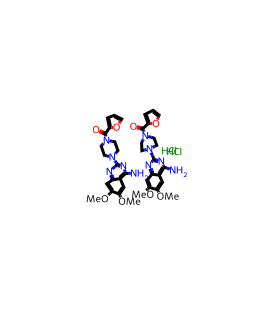 COc1cc2nc(N3CCN(C(=O)c4ccco4)CC3)nc(N)c2cc1OC.COc1cc2nc(N3CCN(C(=O)c4ccco4)CC3)nc(N)c2cc1OC.Cl.Cl